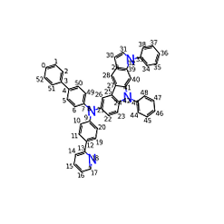 c1ccc(-c2ccc(N(c3ccc(-c4ccccn4)cc3)c3ccc4c(c3)c3cc5ccn(-c6ccccc6)c5cc3n4-c3ccccc3)cc2)cc1